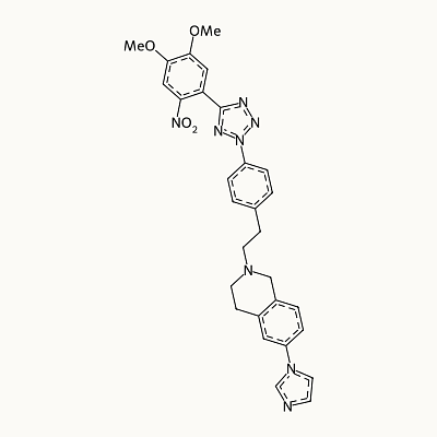 COc1cc(-c2nnn(-c3ccc(CCN4CCc5cc(-n6ccnc6)ccc5C4)cc3)n2)c([N+](=O)[O-])cc1OC